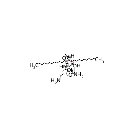 CCCCCCCCCCCC(=O)N(C(=O)CCCCCCCCCCC)N(N[C@@H](CCCCN)C(=O)O)[C@@H](CCC(N)=O)C(=O)O.[NaH]